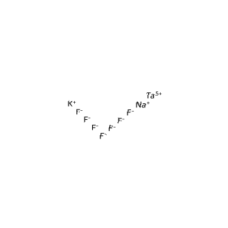 [F-].[F-].[F-].[F-].[F-].[F-].[F-].[K+].[Na+].[Ta+5]